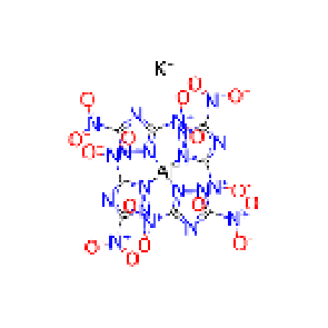 O=[N+]([O-])c1nc([N+](=O)[O-])[n]([Al-]([n]2nc([N+](=O)[O-])nc2[N+](=O)[O-])([n]2nc([N+](=O)[O-])nc2[N+](=O)[O-])[n]2nc([N+](=O)[O-])nc2[N+](=O)[O-])n1.[K+]